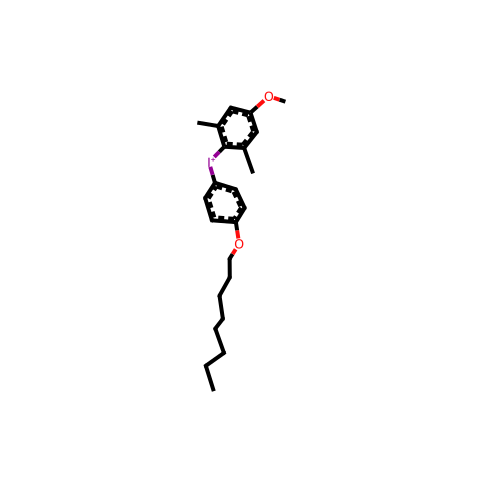 CCCCCCCCOc1ccc([I+]c2c(C)cc(OC)cc2C)cc1